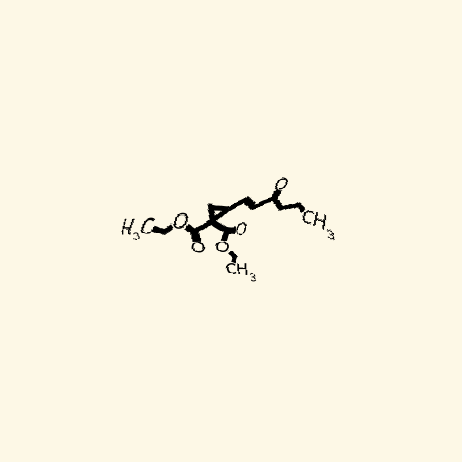 CCCC(=O)/C=C/C1CC1(C(=O)OCC)C(=O)OCC